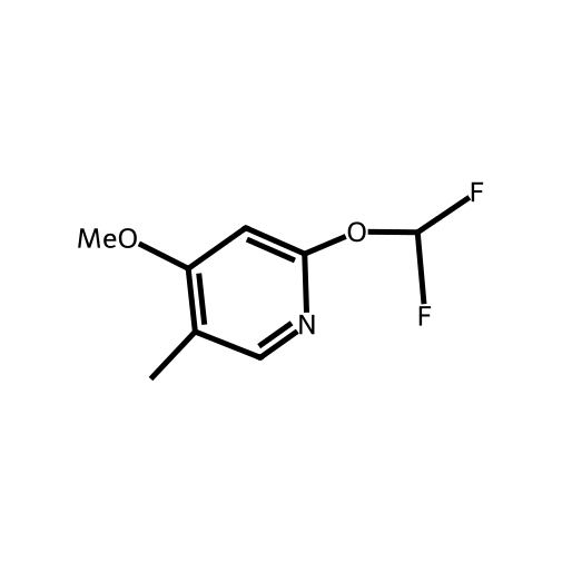 COc1cc(OC(F)F)ncc1C